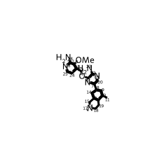 COc1c(COc2nc(-c3cc(C)c4c(c3)CN(C)CC4)cnc2N)ccnc1N